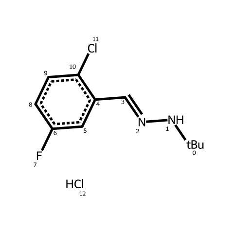 CC(C)(C)NN=Cc1cc(F)ccc1Cl.Cl